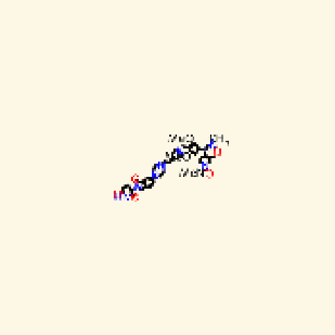 CNC(=O)N1CCC2=C(COCN(C)/C=C\2c2cc(OC)c(CN3CCC(CCN4CCN(c5ccc6c(c5)C(=O)N(C5CCC(=O)NC5=O)C6)CC4)CC3)c(OC)c2)C1